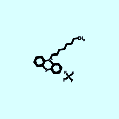 CCCCCCC=C[S+]1c2ccccc2Sc2ccccc21.F[B-](F)(F)F